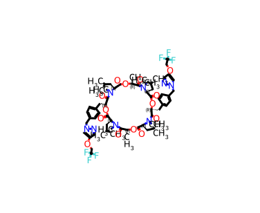 CC(C)C[C@H]1C(=O)O[C@H](Cc2ccc(Cn3cc(OCC(F)(F)F)cn3)cc2)C(=O)N(C)[C@@H](CC(C)C)C(=O)O[C@H](C)C(=O)N(C)[C@@H](CC(C)C)C(=O)O[C@H](Cc2ccc(Cn3cc(OCC(F)(F)F)cn3)cc2)C(=O)N(C)[C@@H](CC(C)C)C(=O)O[C@H](C)C(=O)N1C